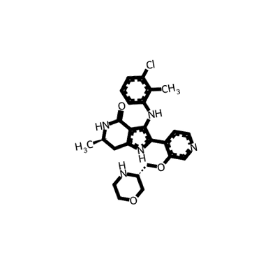 Cc1c(Cl)cccc1Nc1c(-c2ccncc2OC[C@@H]2COCCN2)[nH]c2c1C(=O)N[C@H](C)C2